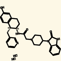 Cl.Cl.O=C(CN1CCC(n2c(=O)[nH]c3ccccc32)CC1)N[C@H]1CCc2cc(O)ccc2[C@H]1Cc1cccnc1